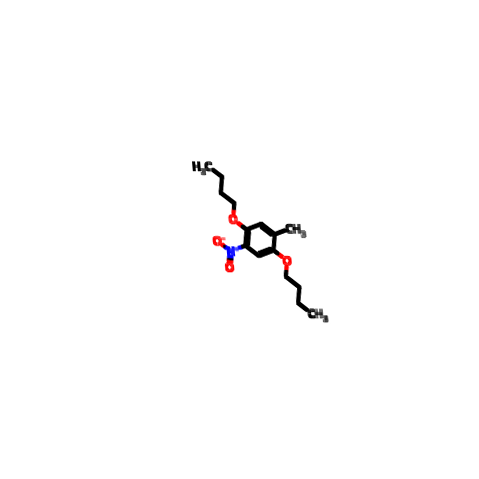 CCCCOc1cc([N+](=O)[O-])c(OCCCC)cc1C